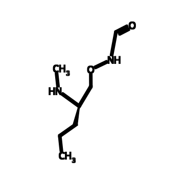 CCC[C@H](CONC=O)NC